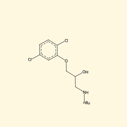 CCCCNCC(O)COc1cc(Cl)ccc1Cl